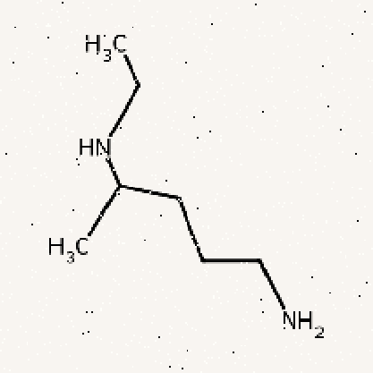 CCNC(C)CCCN